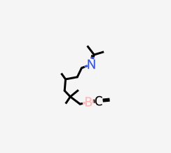 C=C=BCC(C)(C)CC(C)CCN=C(C)C